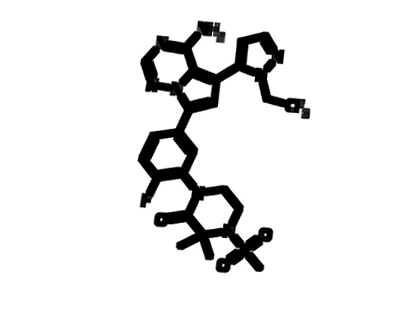 CC1(C)C(=O)N(c2cc(-c3cc(-c4ccnn4CC(F)(F)F)c4c(N)ncnn34)ccc2F)CCN1S(C)(=O)=O